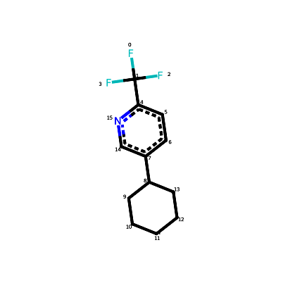 FC(F)(F)c1ccc(C2CC[CH]CC2)cn1